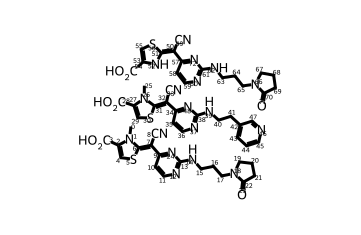 CN1C(C(=O)O)=CSC1=C(C#N)c1ccnc(NCCCN2CCCC2=O)n1.CN1C(C(=O)O)=CSC1=C(C#N)c1ccnc(NCCc2cccnc2)n1.N#CC(=C1NC(C(=O)O)=CS1)c1ccnc(NCCCN2CCCC2=O)n1